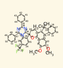 COc1cc2c3c(c4c(c2cc1OC)-c1ccccc1C4(C)C)C=CC(c1ccc(C(F)(F)F)cc1)(c1nc(-c2ccccc2)nc(-c2ccccc2)n1)O3